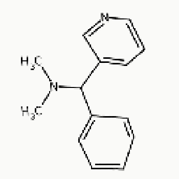 CN(C)C(c1ccccc1)c1cccnc1